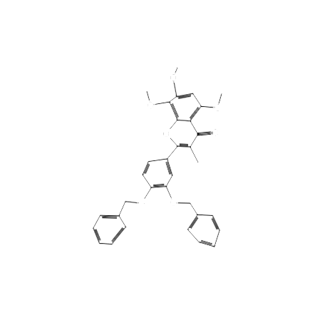 COc1cc(OC)c2c(=O)c(C)c(-c3ccc(OCc4ccccc4)c(OCc4ccccc4)c3)oc2c1OC